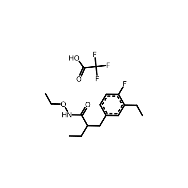 CCONC(=O)C(CC)Cc1ccc(F)c(CC)c1.O=C(O)C(F)(F)F